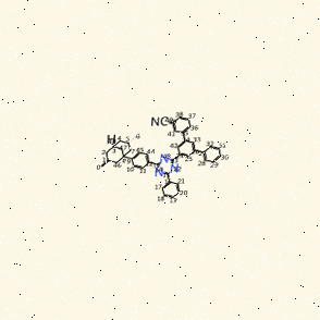 C=C1C[C@@H]2C[C@H](C)CC(c3ccc(-c4nc(-c5ccccc5)nc(-c5cc(-c6ccccc6)cc(-c6cccc(C#N)c6)c5)n4)cc3)(C1)C2